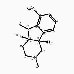 CSc1cccc2c1N(C)[C@H]1CCN(C)C[C@@H]21